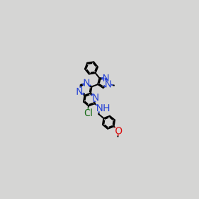 COc1ccc(CNc2nc3c(-c4cn(C)nc4-c4ccccc4)ncnc3cc2Cl)cc1